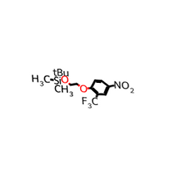 CC(C)(C)[Si](C)(C)OCCOc1ccc([N+](=O)[O-])cc1C(F)(F)F